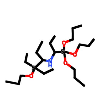 CCCO[Si](CC)(CC)C(CC)NC(CC)[Si](OCCC)(OCCC)OCCC